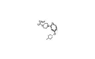 COC(=O)N1CCN(c2cc(O[C@H]3CC[C@H](C)CC3)ccn2)CC1